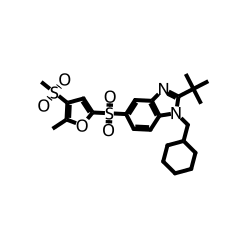 Cc1oc(S(=O)(=O)c2ccc3c(c2)nc(C(C)(C)C)n3CC2CCCCC2)cc1S(C)(=O)=O